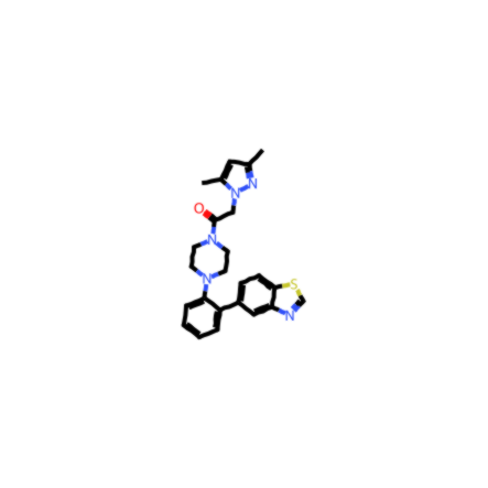 Cc1cc(C)n(CC(=O)N2CCN(c3ccccc3-c3ccc4scnc4c3)CC2)n1